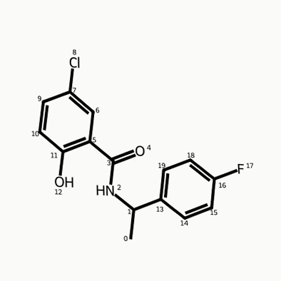 CC(NC(=O)c1cc(Cl)ccc1O)c1ccc(F)cc1